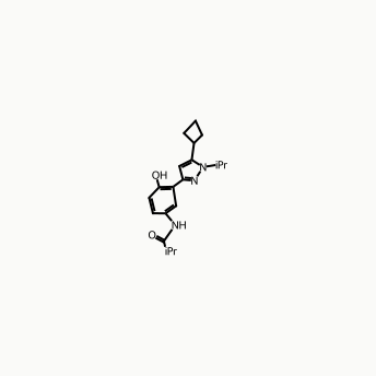 CC(C)C(=O)Nc1ccc(O)c(-c2cc(C3CCC3)n(C(C)C)n2)c1